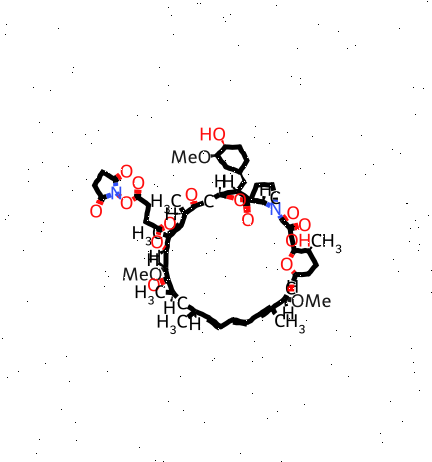 CO[C@H]1C[C@@H]2CC[C@@H](C)[C@@](O)(O2)C(=O)C(=O)N2CCCC3[C@H]2C(=O)O[C@@H](CC(=O)[C@H](C)/C=C(\C)[C@@H](OC(=O)CCC(=O)ON2C(=O)CCC2=O)[C@@H](OC)C(=O)[C@H](C)C[C@H](C)/C=C/C=C/C=C/1C)[C@H]3C[C@@H]1CC[C@@H](O)[C@H](OC)C1